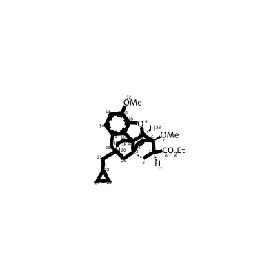 CCOC(=O)[C@H]1C[C@@]23C=C[C@]1(OC)[C@@H]1Oc4c(OC)ccc5c4C12CCN(CC1CC1)C3C5